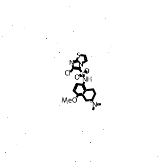 COc1ccc(NS(=O)(=O)c2c(Cl)nc3sccn23)c2c1C[C@@H](N(C)C)CC2